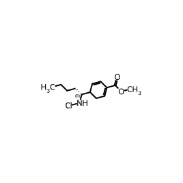 CCCC[C@@H](NCl)C1C=CC(C(=O)OC)=CC1